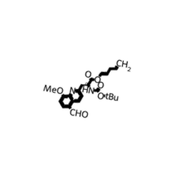 C=CCC=COC(=O)[C@H](Cc1ccc2c(C=O)ccc(OC)c2n1)NC(=O)OC(C)(C)C